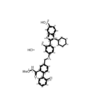 CONC(=O)c1cc(COc2ccc(-c3nc4cc(C(=O)O)ccc4n3C3CCCCC3)c(F)c2)ccc1-c1ccccc1Cl.Cl